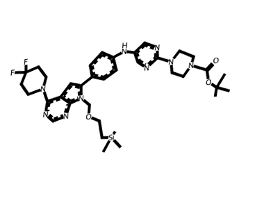 CC(C)(C)OC(=O)N1CCN(c2ncc(Nc3ccc(-c4cc5c(N6CCC(F)(F)CC6)ncnc5n4COCC[Si](C)(C)C)cc3)cn2)CC1